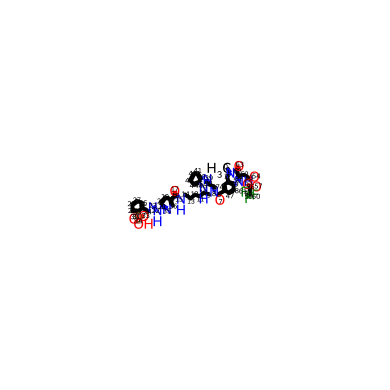 CN1Cc2cc(C(=O)N(CCCCCCNC(=O)c3ccc(NN=Cc4ccccc4S(=O)(=O)O)nc3)Cc3nc4ccccc4[nH]3)ccc2NC(CC(=O)OC(=O)C(F)(F)F)C1=O